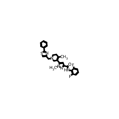 CC1=C(c2cc(C(=O)Nc3c(F)cccc3F)nn2C)CN(Cc2csc(-c3ccccc3)n2)CC1